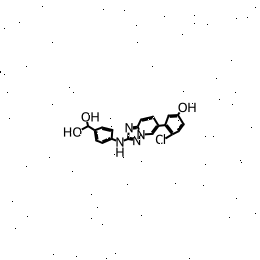 Oc1ccc(Cl)c(-c2ccc3nc(Nc4ccc(C(O)O)cc4)nn3c2)c1